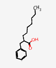 CCCCCCCC(Cc1cc[c]cc1)C(=O)O